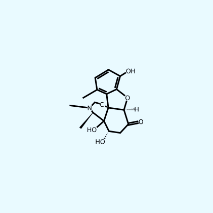 Cc1ccc(O)c2c1[C@]13CCN(C)[C@H](C)C1(O)[C@@H](O)CC(=O)[C@@H]3O2